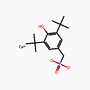 CC(C)(C)c1cc(CP(=O)([O-])[O-])cc(C(C)(C)C)c1O.[Ca+2]